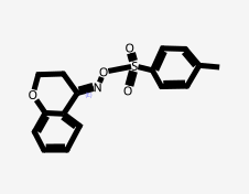 Cc1ccc(S(=O)(=O)O/N=C2\CCOc3ccccc32)cc1